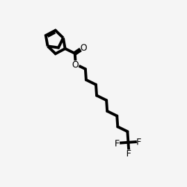 O=C(OCCCCCCCCCC(F)(F)F)C1CC2C=CC1C2